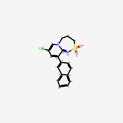 O=S1(=O)CCCN2C=C(Cl)C=C(c3ccc4ccccc4c3)C2=N1